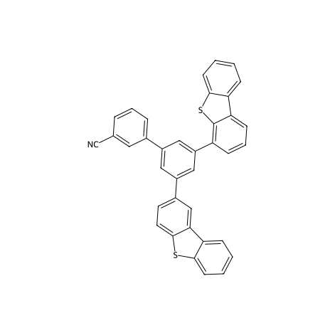 N#Cc1cccc(-c2cc(-c3ccc4sc5ccccc5c4c3)cc(-c3cccc4c3sc3ccccc34)c2)c1